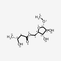 CO[C@H]1O[C@H](COC(=O)C[C@@H](C)O)[C@@H](O)[C@@H]1O